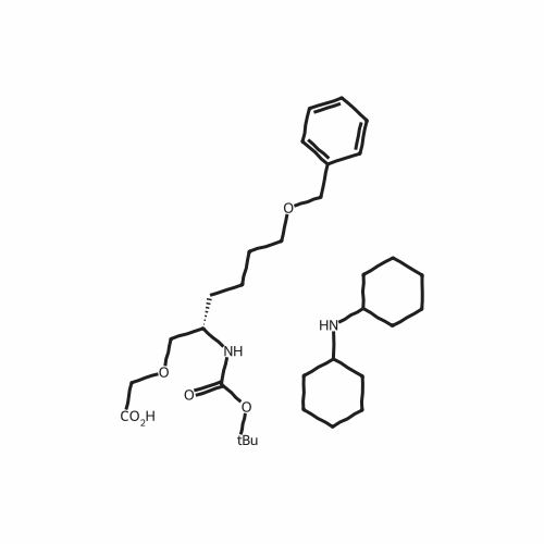 C1CCC(NC2CCCCC2)CC1.CC(C)(C)OC(=O)N[C@@H](CCCCOCc1ccccc1)COCC(=O)O